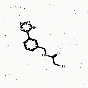 CCC(=O)NCc1cccc(-c2nnn[nH]2)c1